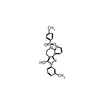 Cc1ccc(S(=O)(=O)N2CCc3c(nn(-c4cccc(C)c4)c3O)-c3cccnc32)cc1